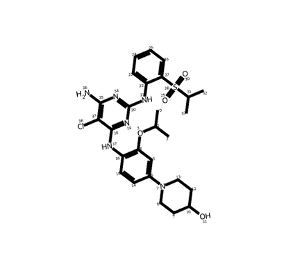 CC(C)Oc1cc(N2CCC(O)CC2)ccc1Nc1nc(Nc2ccccc2S(=O)(=O)C(C)C)nc(N)c1Cl